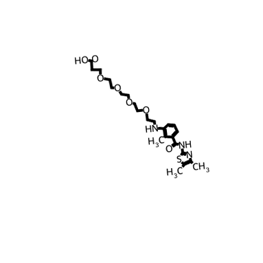 Cc1nc(NC(=O)c2cccc(NCCOCCOCCOCCOCCC(=O)O)c2C)sc1C